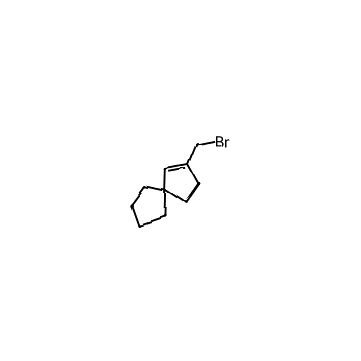 BrCC1=CC2(CCCC2)CC1